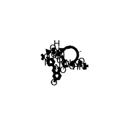 COc1ccc2c(O[C@@H]3C[C@H]4C(=O)NC5(C(=O)NS(=O)(=O)C6CC6)CC5/C=C\CC[C@H](C)C[C@@H](C)[C@H](NC(=O)NC(C)(C)C)C(=O)N4C3)nc(-c3ccc(OC(C)C)nc3)cc2c1